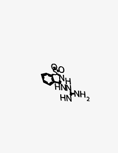 N=C(N)NNC1=NS(=O)(=O)c2ccccc21